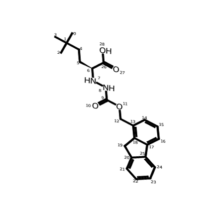 CC(C)(C)CC[C@H](NNC(=O)OCc1cccc2c1Cc1ccccc1-2)C(=O)O